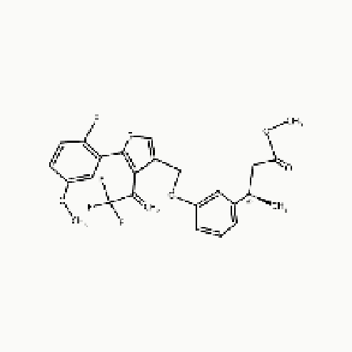 C=C(c1c(COc2cccc([C@H](C)CC(=O)OC)c2)csc1-c1cc(OC)ccc1F)C(F)(F)F